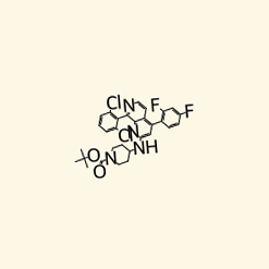 CC(C)(C)OC(=O)N1CCC(Nc2cc(-c3ccc(F)cc3F)c3ccnc(-c4c(Cl)cccc4Cl)c3n2)CC1